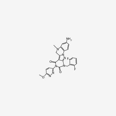 COc1ccc(-n2c(=O)c3c4n(nc3n(Cc3c(F)cccc3F)c2=O)-c2ccc(N)cc2N(C)C4)nn1